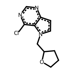 Clc1ncnc2ccn(CC3CCCO3)c12